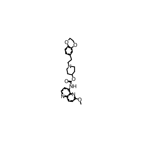 COc1ccc2nccc(NC(=O)OC3CCN(CCc4ccc5c(c4)OCCO5)CC3)c2n1